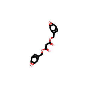 O=C(CC(=O)OCC1CC2CC1C1OC21)OCC1CC2CC1C1OC21